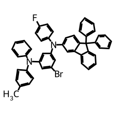 Cc1ccc(N(c2ccccc2)c2cc(Br)cc(N(c3ccc(F)cc3)c3ccc4c(c3)-c3ccccc3C4(c3ccccc3)c3ccccc3)c2)cc1